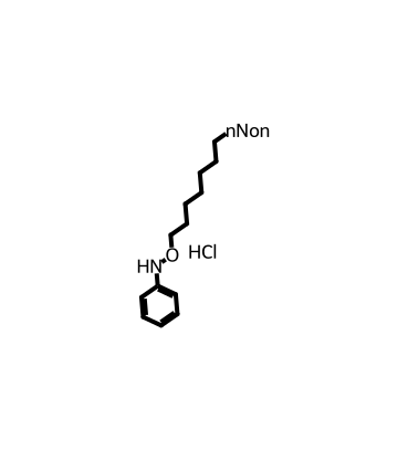 CCCCCCCCCCCCCCCCONc1ccccc1.Cl